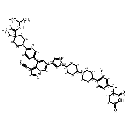 CCC1(C(=O)NC(C)C)CCN(c2ccc(-c3cc(-c4cnn(C5CCC(N6CCC(c7ccc(N[C@@H]8CCC(=O)NC8=O)cc7F)CC6)CC5)c4)cn4ncc(C#N)c34)cn2)CC1